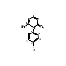 CC(C)c1cccc(=O)n1-c1ccc(F)cc1